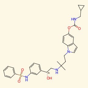 CC(C)(CCn1ccc2cc(OC(=O)NCC3CC3)ccc21)NC[C@H](O)c1cccc(NS(=O)(=O)c2ccccc2)c1